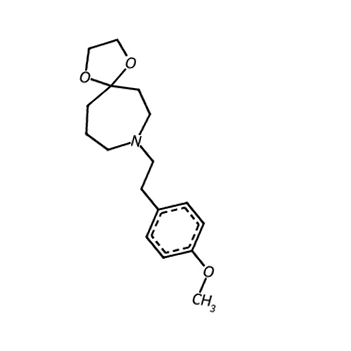 COc1ccc(CCN2CCCC3(CC2)OCCO3)cc1